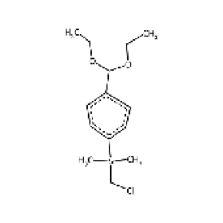 CCOC(OCC)c1ccc([Si](C)(C)CCl)cc1